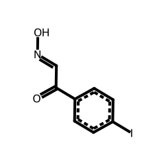 O=C(C=NO)c1ccc(I)cc1